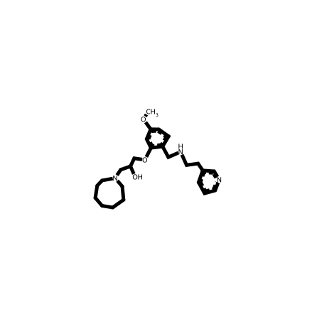 COc1ccc(CNCCc2cccnc2)c(OCC(O)CN2CCCCCCC2)c1